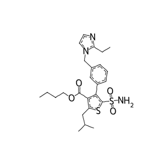 CCCCOC(=O)c1c(CC(C)C)sc(S(N)(=O)=O)c1-c1cccc(Cn2ccnc2CC)c1